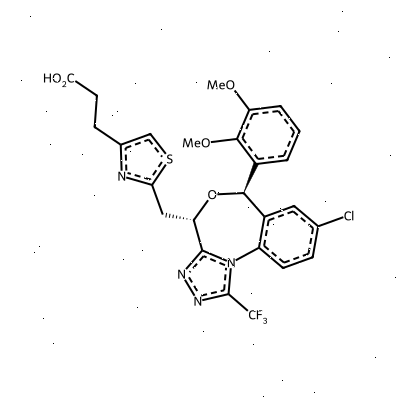 COc1cccc([C@@H]2O[C@@H](Cc3nc(CCC(=O)O)cs3)c3nnc(C(F)(F)F)n3-c3ccc(Cl)cc32)c1OC